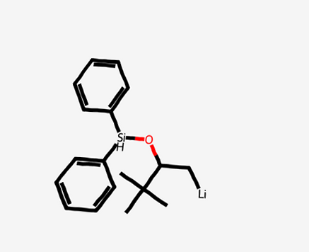 [Li][CH2]C(O[SiH](c1ccccc1)c1ccccc1)C(C)(C)C